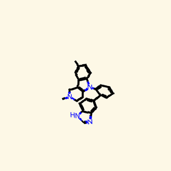 Cc1ccc2c(c1)c1c(n2-c2ccccc2-c2ccc3[nH]cnc3c2)CCN(C)C1